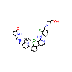 COc1nc(-c2cccc(-c3ccnc(Nc4cccc(CN5CC(CO)C5)c4F)c3Cl)c2Cl)ccc1CNC[C@H]1CCC(=O)N1